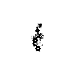 Nc1ncnc2c1c(-c1cc3nc(-c4ccccc4)ccc3cc1Cl)nn2C1CC(CN2CCC2)C1